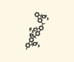 CCC(C)(c1ccc2c(c1)C(C)(C(F)(F)F)c1cc(C)ccc1-2)c1ccc2c(c1)C(C)(C(F)(F)F)c1cc(C(C)c3ccc4c(c3)C(C)(C(F)(F)F)c3ccccc3-4)ccc1-2